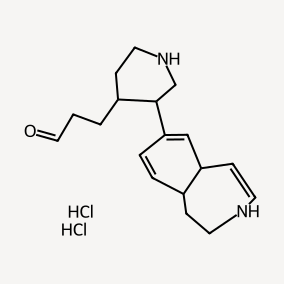 Cl.Cl.O=CCCC1CCNCC1C1=CC2C=CNCCC2C=C1